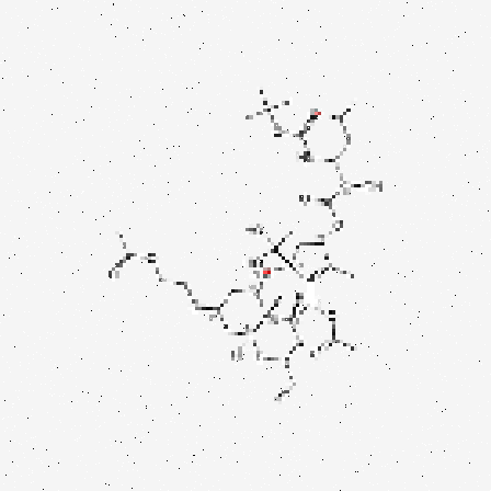 C=CC1O[C@H]2C[C@@H](OCCOC(C)=O)C[C@H]3[C@H](O)[C@]4(C(C)(C)O)C[C@H](OC(=O)[C@H](O)C(CC(C)C)NC(=O)OC(C)(C)C)C(C)=C4[C@H](OC(C)=O)[C@H](O1)[C@]23C